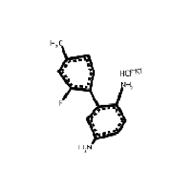 Cc1ccc(-c2cc(N)ccc2N)c(F)c1.Cl.Cl